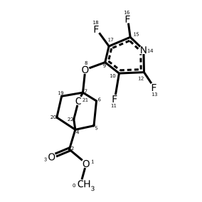 COC(=O)C12CCC(Oc3c(F)c(F)nc(F)c3F)(CC1)CC2